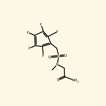 CN(CC(N)=S)S(=O)(=O)Cc1c(F)c(F)c(F)c(F)c1F